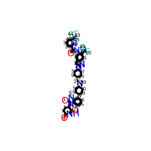 Cn1c(=O)n(C2CCC(=O)NC2=O)c2cccc([C@H]3CC[C@@H](N(C)C[C@H]4CC[C@H](n5cc6cc(NC(=O)c7cccc(C(F)(F)F)n7)c(C(F)F)cc6n5)CC4)CC3)c21